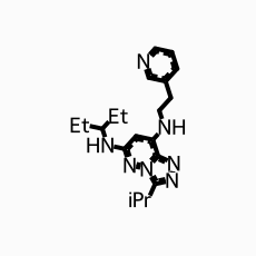 CCC(CC)Nc1cc(NCCc2cccnc2)c2nnc(C(C)C)n2n1